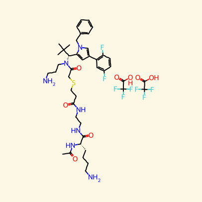 CC(=O)N[C@@H](CCCCN)C(=O)NCCNC(=O)CCSCC(=O)N(CCCN)[C@@H](c1cc(-c2cc(F)ccc2F)cn1Cc1ccccc1)C(C)(C)C.O=C(O)C(F)(F)F.O=C(O)C(F)(F)F